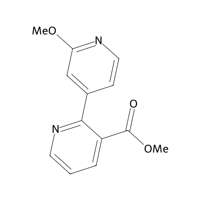 COC(=O)c1cccnc1-c1ccnc(OC)c1